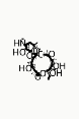 CC[C@H]1OC(=O)[C@H](C)[C@@H](O)[C@H](C)[C@H](OC2O[C@H](C)C[C@H](NC)[C@@H]2O)C(C)(OC)C[C@H](C)C(=O)[C@H](C)[C@@H](O)[C@]1(C)O